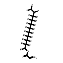 C=CC(=O)OC(F)C(F)(F)C(F)(F)C(F)(F)C(F)(F)C(F)(F)C(F)(F)C(F)(F)C(F)(F)C(F)C(F)F